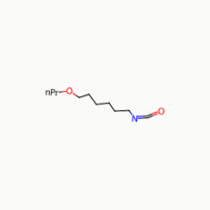 CCCOCCCCCCN=C=O